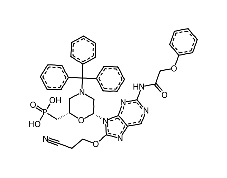 N#CCCOc1nc2cnc(NC(=O)COc3ccccc3)nc2n1[C@H]1CN(C(c2ccccc2)(c2ccccc2)c2ccccc2)C[C@@H](CP(=O)(O)O)O1